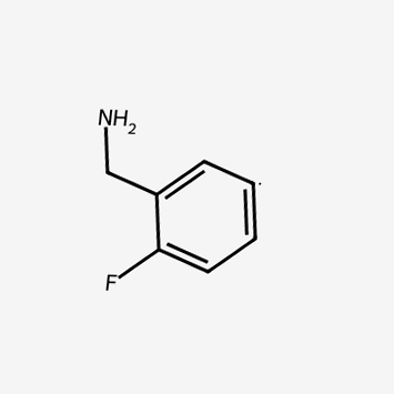 NCc1c[c]ccc1F